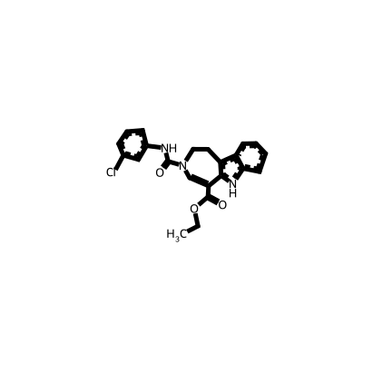 CCOC(=O)C1=CN(C(=O)Nc2cccc(Cl)c2)CCc2c1[nH]c1ccccc21